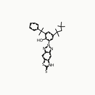 CC(C)(C)CC(C)(C)c1cc(-n2nc3cc4[nH]c(=S)sc4cc3n2)c(O)c(C(C)(C)c2ccccc2)c1